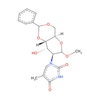 COC1O[C@@H]2COC(c3ccccc3)O[C@H]2[C@@H](O)[C@@H]1n1cc(C)c(=O)[nH]c1=O